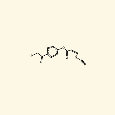 N#CS/C=C\C(=O)Oc1ccc(C(=O)CCl)cc1